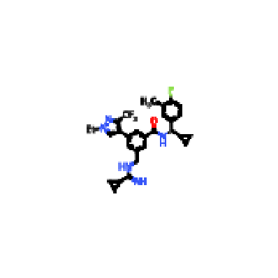 CCn1cc(-c2cc(CNC(=N)C3CC3)cc(C(=O)N[C@H](c3ccc(F)c(C)c3)C3CC3)c2)c(C(F)(F)F)n1